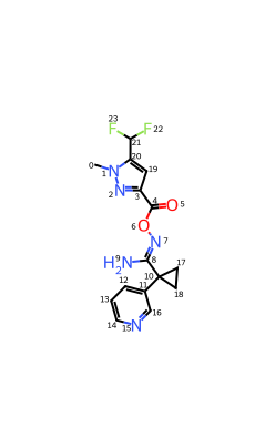 Cn1nc(C(=O)O/N=C(\N)C2(c3cccnc3)CC2)cc1C(F)F